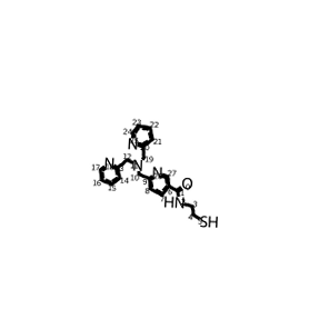 O=C(NCCS)c1ccc(CN(Cc2ccccn2)Cc2ccccn2)nc1